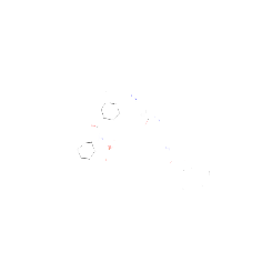 CCS(=O)(=O)c1ccc(Cl)cc1N(C)C(=O)c1cc(Cl)c(CN2CCC[C@H](C(=O)NC3CCN(C(=O)OC(C)(C)C)CC3)C2)c(C(F)(F)F)c1